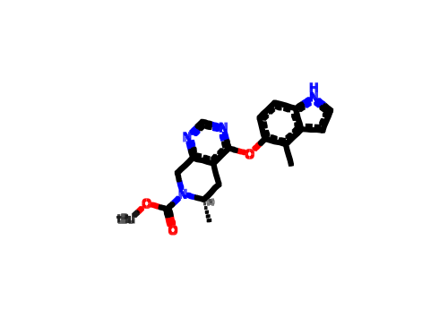 Cc1c(Oc2ncnc3c2C[C@H](C)N(C(=O)OC(C)(C)C)C3)ccc2[nH]ccc12